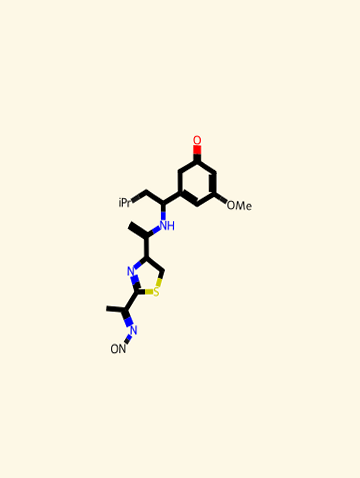 C=C(NC(CC(C)C)C1=CC(OC)=CC(=O)C1)C1CSC(/C(C)=N/N=O)=N1